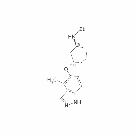 CCN[C@H]1CCC[C@H](Oc2ccc3[nH]ncc3c2C)C1